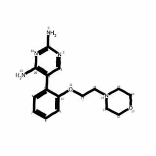 Nc1ncc(-c2ccccc2OCCN2CCOCC2)c(N)n1